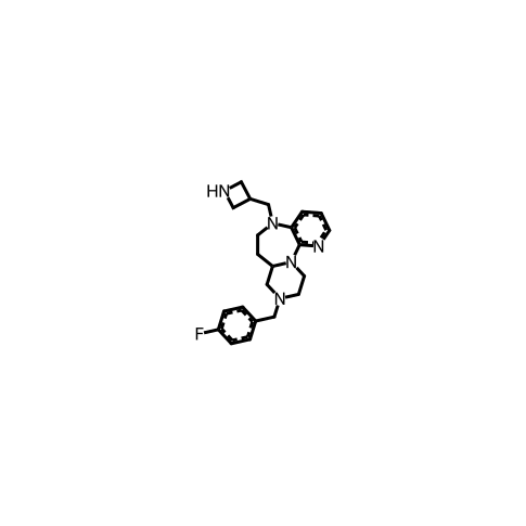 Fc1ccc(CN2CCN3c4ncccc4N(CC4CNC4)CCC3C2)cc1